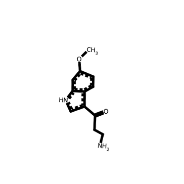 COc1ccc2c(C(=O)CCN)c[nH]c2c1